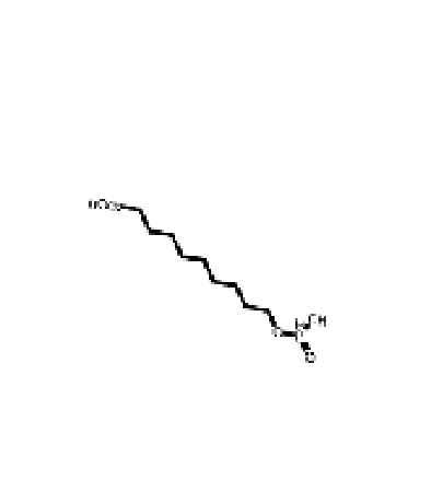 CCCCCCCCCCCCCCCCCO[PH](=O)O